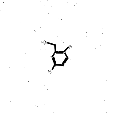 CC(C)c1ccc(C#N)cc1CN